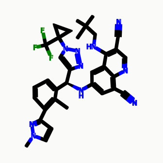 Cc1c(-c2ccn(C)n2)cccc1[C@H](Nc1cc(C#N)c2ncc(C#N)c(NCC(C)(C)C)c2c1)c1cn(C2(C(F)(F)F)CC2)nn1